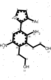 CC(=O)c1ccoc1-c1cc(N)c(CCO)c(CCO)c1N